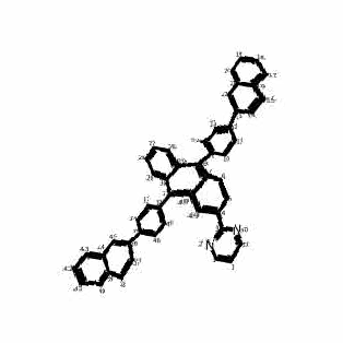 c1cnc(-c2ccc3c(-c4ccc(-c5ccc6ccccc6c5)cc4)c4ccccc4c(-c4ccc(-c5ccc6ccccc6c5)cc4)c3c2)nc1